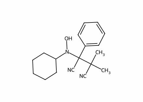 CC(C)(C#N)C(C#N)(c1ccccc1)N(O)C1CCCCC1